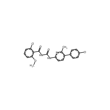 COc1cccc(Cl)c1C(=O)NC(=O)Nc1ccc(-c2ccc(Cl)cc2)c(C)n1